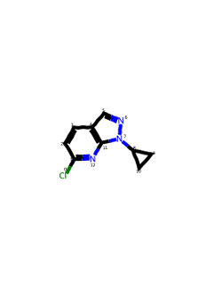 Clc1ccc2cnn(C3CC3)c2n1